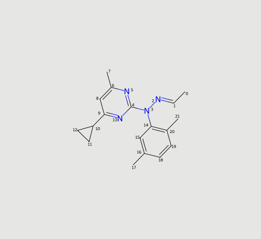 CC=NN(c1nc(C)cc(C2CC2)n1)c1cc(C)ccc1C